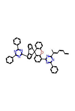 C=C/C=C\C=C(/C)c1nc(-c2ccccc2)nc(-c2cccc3c2Oc2ccccc2C32c3ccccc3-c3c(-c4nc(-c5ccccc5)nc(-c5ccccc5)n4)cccc32)n1